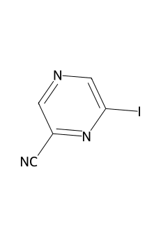 N#Cc1cncc(I)n1